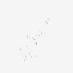 C=Nc1c(-c2ccnc3cc(F)c(OC)cc23)cnn1/C=C(\C)N1CCC(N2CC3CCC(C2)N3C)CC1